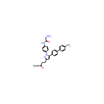 CNC(=O)CCc1cc(-c2ccc(-c3ccc(C(F)(F)F)cc3)cc2)n(-c2ccc(NC(=O)CN)cc2)n1